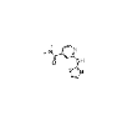 CN(C)C(=O)c1ccnc(Nc2nccs2)c1